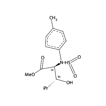 COC(=O)[C@H]([C@H](O)C(C)C)N(c1ccc(C)cc1)[SH](=O)=O